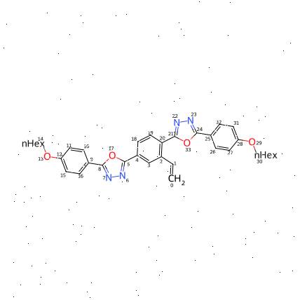 C=Cc1cc(-c2nnc(-c3ccc(OCCCCCC)cc3)o2)ccc1-c1nnc(-c2ccc(OCCCCCC)cc2)o1